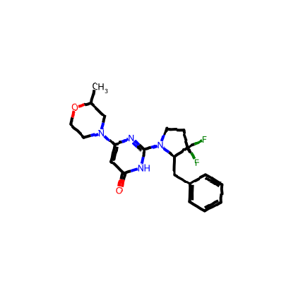 CC1CN(c2cc(=O)[nH]c(N3CCC(F)(F)C3Cc3ccccc3)n2)CCO1